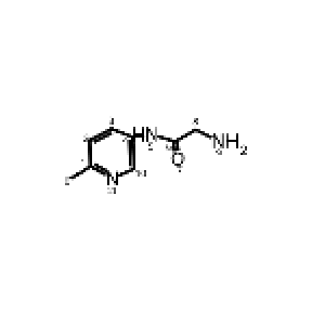 Cc1ccc(NC(=O)CN)cn1